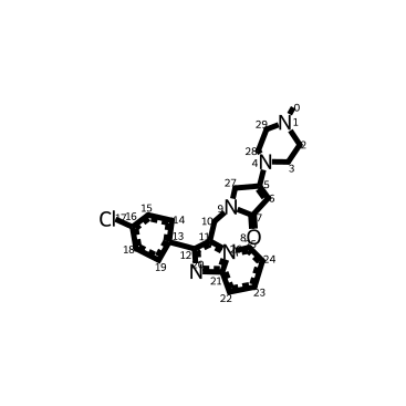 CN1CCN(C2=CC(=O)N(Cc3c(-c4ccc(Cl)cc4)nc4ccccn34)C2)CC1